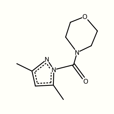 Cc1cc(C)n(C(=O)N2CCOCC2)n1